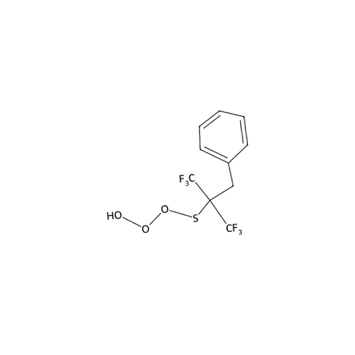 OOOSC(Cc1ccccc1)(C(F)(F)F)C(F)(F)F